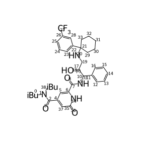 CCC(C)N(C(=O)c1cc(C(=O)N[C@@H](c2ccccc2)[C@H](O)CNC2(c3cccc(C(F)(F)F)c3)CCCCC2)[nH]c(=O)c1)C(C)CC